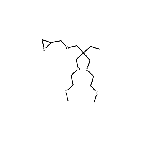 CCC(COCCOC)(COCCOC)COCC1CO1